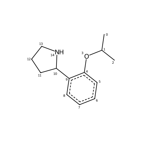 CC(C)Oc1ccccc1C1CCCN1